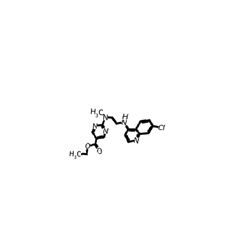 CCOC(=O)c1cnc(N(C)CCNc2ccnc3cc(Cl)ccc23)nc1